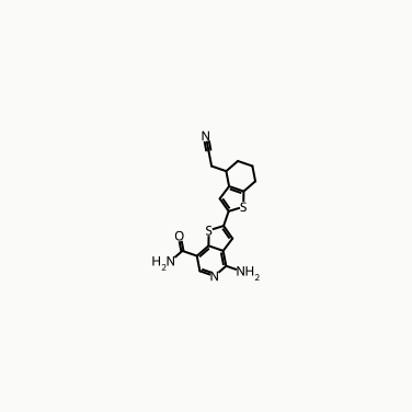 N#CCC1CCCc2sc(-c3cc4c(N)ncc(C(N)=O)c4s3)cc21